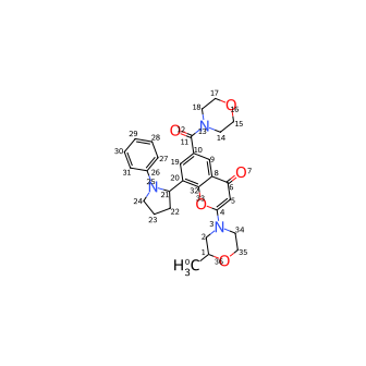 CC1CN(c2cc(=O)c3cc(C(=O)N4CCOCC4)cc(C4CCCN4c4ccccc4)c3o2)CCO1